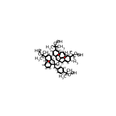 CC(C)(OO)c1ccc(CC(Cc2ccc(C(C)(C)OO)cc2)(OC(Cc2ccc(C(C)(C)OO)cc2)(Cc2ccc(C(C)(C)OO)cc2)c2ccccc2)c2ccccc2)cc1